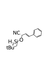 CC(C)(C)C[SiH2]O[C@H](C#N)/C=C/c1ccccc1